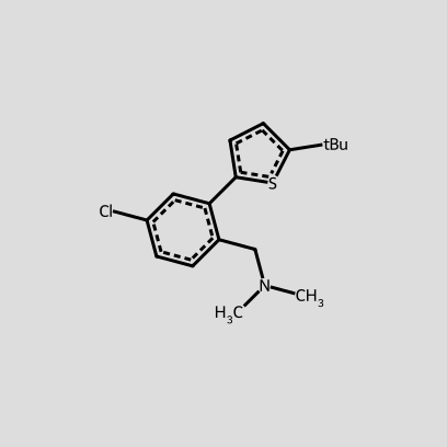 CN(C)Cc1ccc(Cl)cc1-c1ccc(C(C)(C)C)s1